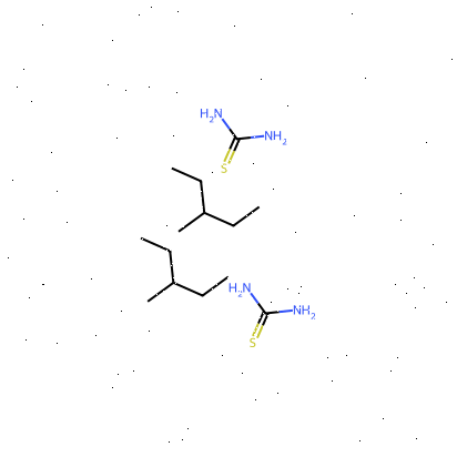 CCC(C)CC.CCC(C)CC.NC(N)=S.NC(N)=S